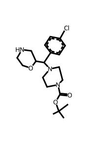 CC(C)(C)OC(=O)N1CCN(C(c2ccc(Cl)cc2)C2CNCCO2)CC1